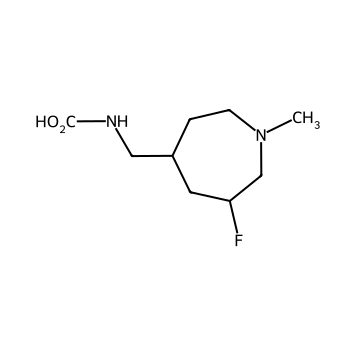 CN1CCC(CNC(=O)O)CC(F)C1